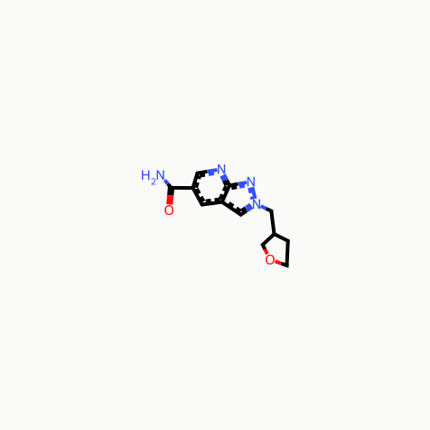 NC(=O)c1cnc2nn(CC3CCOC3)cc2c1